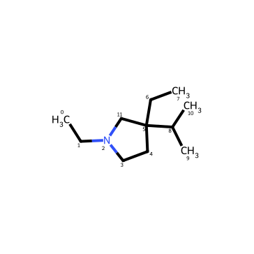 CCN1CCC(CC)(C(C)C)C1